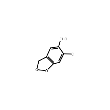 O=Cc1cc2c(cc1Cl)OOC2